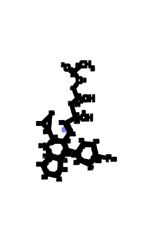 CC(=O)OC[C@H](O)C[C@H](O)/C=C/c1c(C2CC2)nc2ccccc2c1-c1ccc(F)cc1